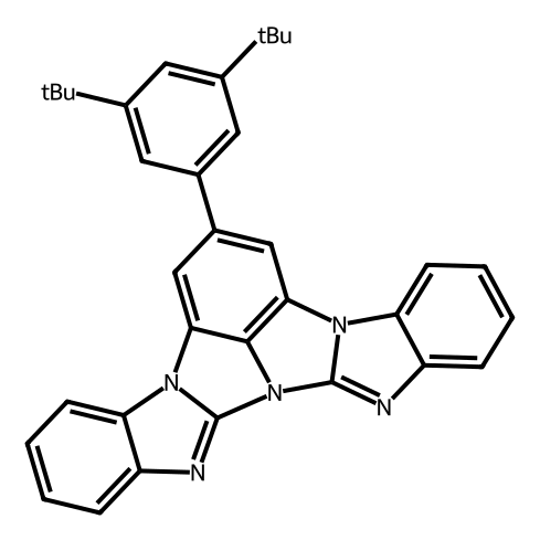 CC(C)(C)c1cc(-c2cc3c4c(c2)n2c5ccccc5nc2n4c2nc4ccccc4n32)cc(C(C)(C)C)c1